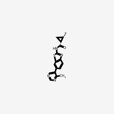 Cc1ncncc1-c1ccc2nc(NC(=O)[C@@H]3C[C@@H]3F)sc2c1